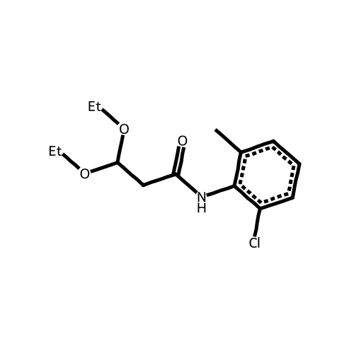 CCOC(CC(=O)Nc1c(C)cccc1Cl)OCC